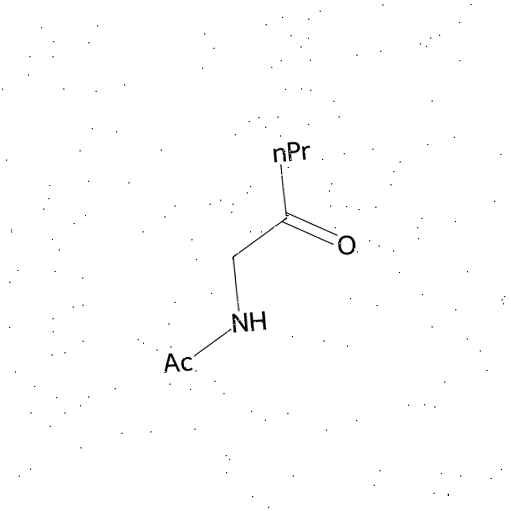 CCCC(=O)CNC(C)=O